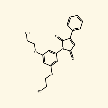 O=C1C=C(c2ccccc2)C(=O)N1c1cc(OCCO)cc(OCCO)c1